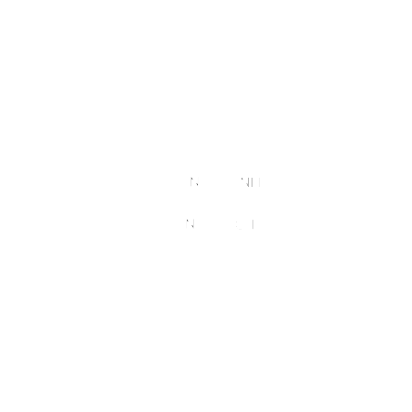 CC(=N)c1ncccn1